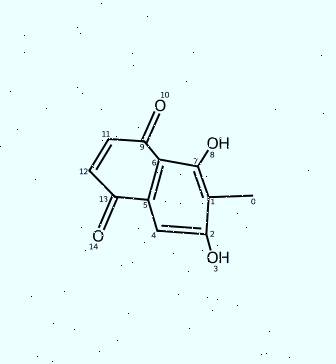 Cc1c(O)cc2c(c1O)C(=O)C=CC2=O